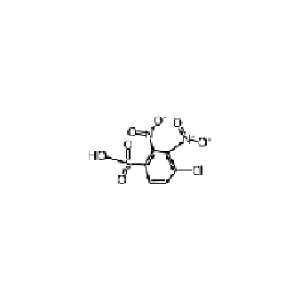 O=[N+]([O-])c1c(Cl)ccc(S(=O)(=O)O)c1[N+](=O)[O-]